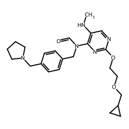 CNc1cnc(OCCOCC2CC2)nc1N(C=O)Cc1ccc(CN2CCCC2)cc1